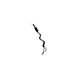 [CH2]C#CCCCCOC